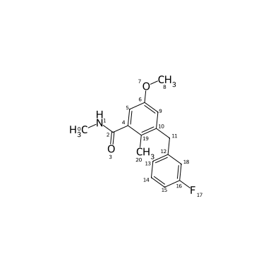 CNC(=O)c1cc(OC)cc(Cc2cccc(F)c2)c1C